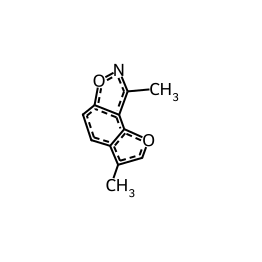 Cc1coc2c1ccc1onc(C)c12